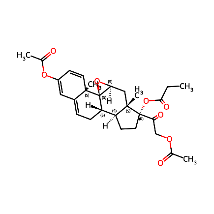 CCC(=O)O[C@]1(C(=O)COC(C)=O)CC[C@H]2[C@@H]3CC=C4C=C(OC(C)=O)C=C[C@]4(C)[C@@]34O[C@H]4C[C@@]21C